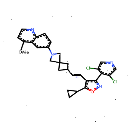 COc1ccnc2ccc(N3CC4(CC(/C=C/c5c(-c6c(Cl)cncc6Cl)noc5C5CC5)C4)C3)cc12